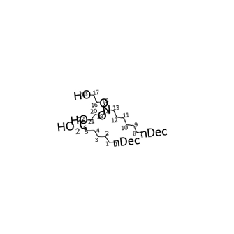 CCCCCCCCCCCCCCCC(=O)O.CCCCCCCCCCCCCCCCN(OCCO)OCCO